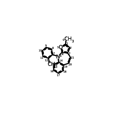 Cc1cc2c(o1)N(c1ccccc1C)c1ccccc1C=C2